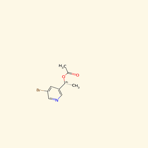 CC(=O)O[C@H](C)c1cncc(Br)c1